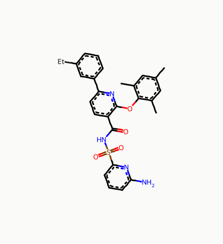 CCc1cccc(-c2ccc(C(=O)NS(=O)(=O)c3cccc(N)n3)c(Oc3c(C)cc(C)cc3C)n2)c1